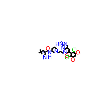 CNc1ncc2cc(-c3c(Cl)c(OC)cc(OC)c3Cl)c(=O)n(CCCN3CCCC(NC(=O)/C(C#N)=C/C(C)(C)C)C3)c2n1